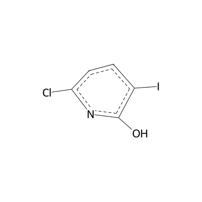 Oc1nc(Cl)ccc1I